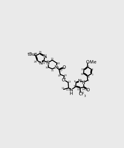 COc1ccc(Cn2ncc(NC(C)COCCC(=O)N3CCN(c4ncc(C(C)(C)C)cn4)CC3)c(C(F)(F)F)c2=O)cc1